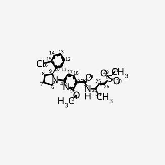 COc1nc(N2CCC[C@H]2c2ccccc2Cl)ccc1C(=O)N[C@H](C)/C=C/S(C)(=O)=O